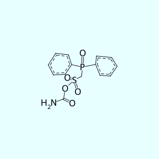 NC(=O)OS(=O)(=O)CP(=O)(c1ccccc1)c1ccccc1